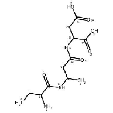 CCC(N)C(=O)NC(C)CC(=O)NC(CC(=O)O)C(=O)O